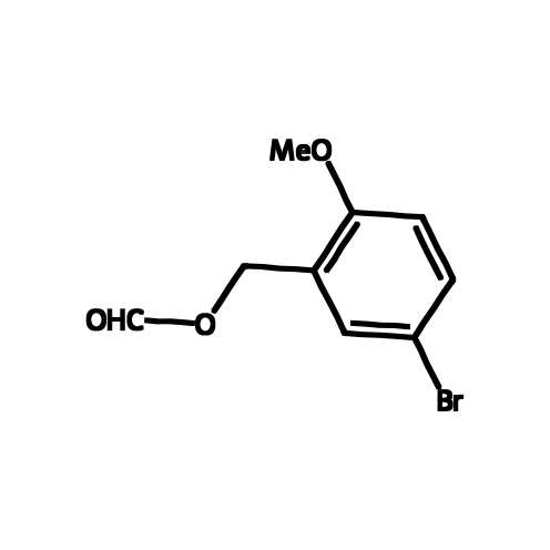 COc1ccc(Br)cc1COC=O